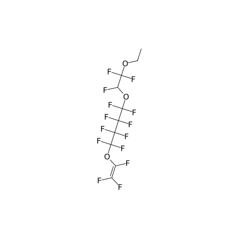 CCOC(F)(F)C(F)OC(F)(F)C(F)(F)C(F)(F)C(F)(F)OC(F)=C(F)F